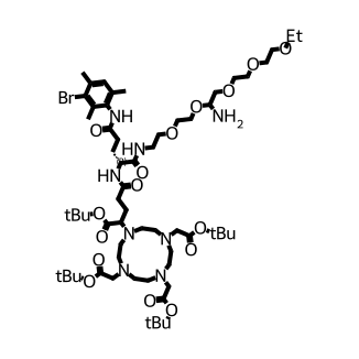 CCOCCOCCOCC(N)OCCOCCNC(=O)[C@@H](CCC(=O)Nc1c(C)cc(C)c(Br)c1C)NC(=O)CCC(C(=O)OC(C)(C)C)N1CCN(CC(=O)OC(C)(C)C)CCN(CC(=O)OC(C)(C)C)CCN(CC(=O)OC(C)(C)C)CC1